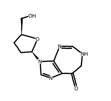 O=C1CNC=Nc2c1ncn2[C@H]1CC[C@@H](CO)O1